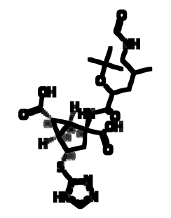 CC(CNC=O)CC(OC(C)(C)C)C(=O)N[C@@]1(C(=O)O)C[C@H](Sc2nnc[nH]2)[C@H]2[C@H](C(=O)O)[C@H]21